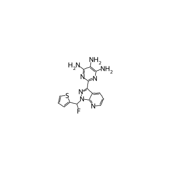 Nc1nc(-c2nn(C(F)c3cccs3)c3ncccc23)nc(N)c1N